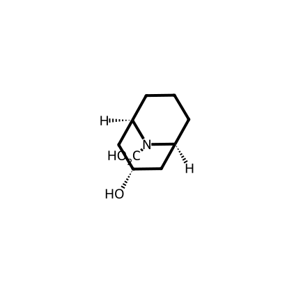 O=C(O)N1[C@@H]2CCC[C@H]1C[C@H](O)C2